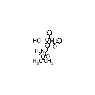 CC(C)OC(=O)[C@@H](N)Cc1ccc(OC(=O)c2ccccc2)c(OC(=O)c2ccccc2)c1.Cl